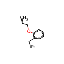 C=CCOc1ccccc1CC(C)C